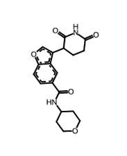 O=C1CCC(c2coc3ccc(C(=O)NC4CCOCC4)cc23)C(=O)N1